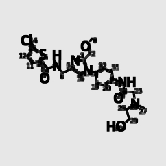 COCc1nc(CNC(=O)c2ccc(Cl)s2)cn1-c1ccc(NC(=O)CN(C)CCO)cc1